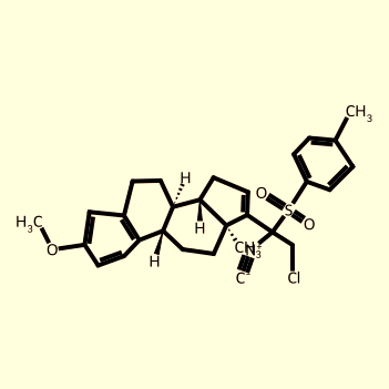 [C-]#[N+]C(CCl)(C1=CC[C@H]2[C@@H]3CCc4cc(OC)ccc4[C@H]3CC[C@]12C)S(=O)(=O)c1ccc(C)cc1